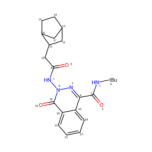 CC(C)(C)NC(=O)c1nn(NC(=O)CC2CC3CCC2C3)c(=O)c2ccccc12